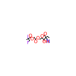 CCC1(C#N)C(=O)OC(COC(=O)COC(=O)C(C)(I)CI)C1O